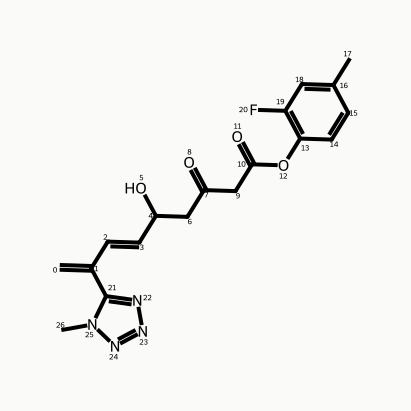 C=C(C=CC(O)CC(=O)CC(=O)Oc1ccc(C)cc1F)c1nnnn1C